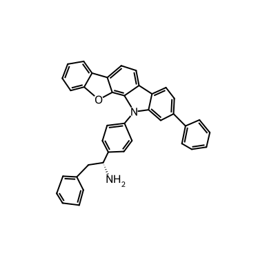 N[C@H](Cc1ccccc1)c1ccc(-n2c3cc(-c4ccccc4)ccc3c3ccc4c5ccccc5oc4c32)cc1